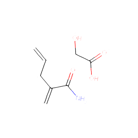 C=CCC(=C)C(N)=O.O=C(O)CO